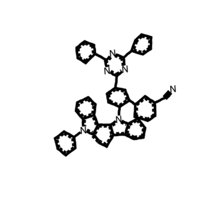 N#Cc1cccc(-c2cc(-c3nc(-c4ccccc4)nc(-c4ccccc4)n3)ccc2-n2c3ccccc3c3ccc4c(c5ccccc5n4-c4ccccc4)c32)c1